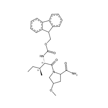 CC[C@H](C)[C@H](NC(=O)OCC1c2ccccc2-c2ccccc21)C(=O)N1CC(OC)CC1C(N)=O